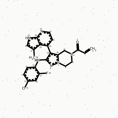 C=CC(=O)N1CCn2nc(Nc3ccc(Cl)cc3F)c(-c3ccnc4[nH]cc(C)c34)c2C1